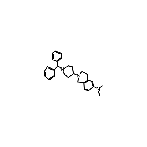 CN(C)c1ccc2c(c1)CCN(C1CCN(C(c3ccccc3)c3ccccc3)CC1)C2